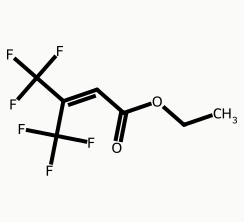 CCOC(=O)C=C(C(F)(F)F)C(F)(F)F